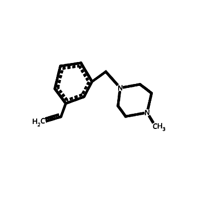 C=Cc1cccc(CN2CCN(C)CC2)c1